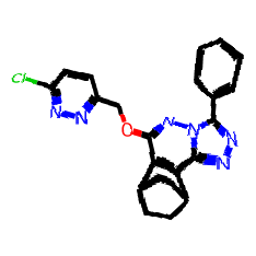 Clc1ccc(COc2nn3c(-c4ccccc4)nnc3c3c2C2CCC3CC2)nn1